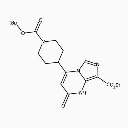 CCOC(=O)c1ncn2c(C3CCN(C(=O)OC(C)(C)C)CC3)cc(=O)[nH]c12